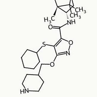 CC1(C)[C@@H]2CC[C@@]1(C)[C@@H](NC(=O)c1onc(OCC3CCNCC3)c1SC1CCCCC1)C2